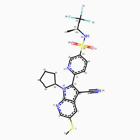 CSc1cnc2c(c1)c(C#N)c(-c1ccc(S(=O)(=O)N[C@@H](C)C(F)(F)F)cn1)n2C1CCCC1